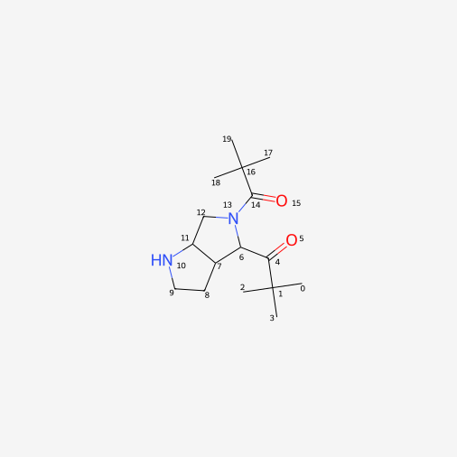 CC(C)(C)C(=O)C1C2CCNC2CN1C(=O)C(C)(C)C